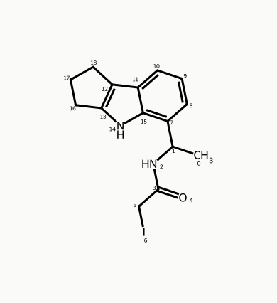 CC(NC(=O)CI)c1cccc2c3c([nH]c12)CCC3